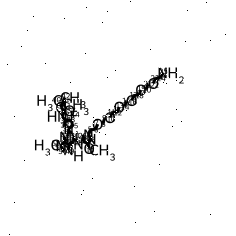 COc1nn(CCOCCOCCOCCOCCOCCOCCN)cc1Nc1nc(N2CC(NC(=O)OC(C)(C)C)[C@H](F)C2)nc2c1ncn2C